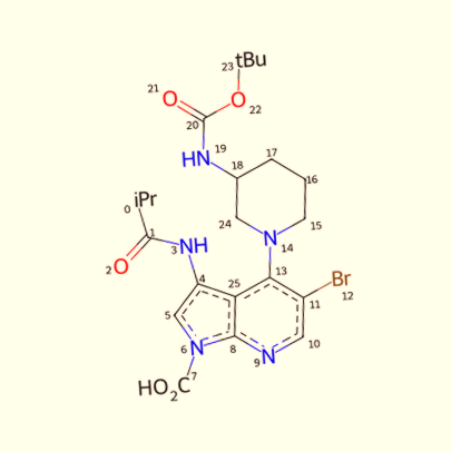 CC(C)C(=O)Nc1cn(C(=O)O)c2ncc(Br)c(N3CCCC(NC(=O)OC(C)(C)C)C3)c12